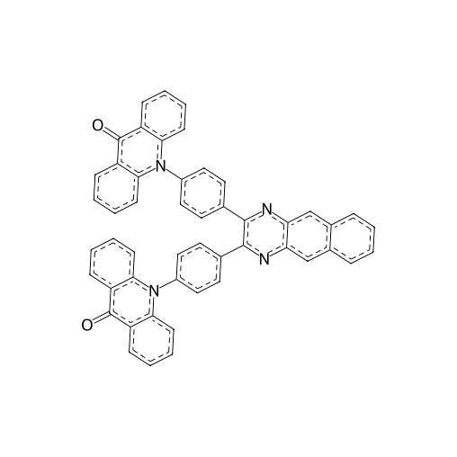 O=c1c2ccccc2n(-c2ccc(-c3nc4cc5ccccc5cc4nc3-c3ccc(-n4c5ccccc5c(=O)c5ccccc54)cc3)cc2)c2ccccc12